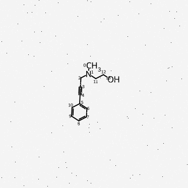 CN(CC#Cc1ccccc1)CCO